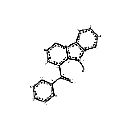 Cn1c2ccccc2c2ccnc(C(=O)c3ccccc3)c21